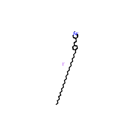 CCCCCCCCCCCCCCCCCCCCCCCCCCc1ccc(C=Cc2cc[n+](C)cc2)cc1.[I-]